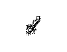 O=[N+]([O-])c1c(F)c(C(F)(F)F)c(F)c([N+](=O)[O-])c1C(F)(F)C(F)(F)C(F)(F)C(F)(F)C(F)(F)C(F)(F)C(F)(F)C(F)(F)F